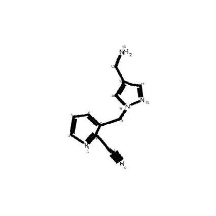 N#Cc1ncccc1Cn1cc(CN)cn1